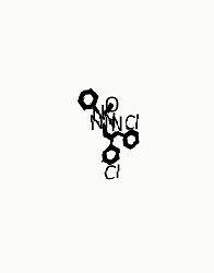 O=c1n(-c2ccccc2)nc2cc(-c3ccc(Cl)cc3)c(-c3ccccc3Cl)nn12